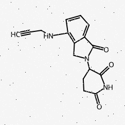 C#CCNc1cccc2c1CN(C1CCC(=O)NC1=O)C2=O